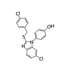 Oc1ccc(-n2c(SCc3ccc(Cl)cc3)nc3ccc(Cl)cc32)cc1